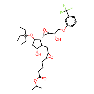 CC[Si](CC)(CC)O[C@@H]1C[C@H](O)[C@H](CC2OC2CCCC(=O)OC(C)C)[C@H]1[C@H]1OC1[C@@H](O)COc1cccc(C(F)(F)F)c1